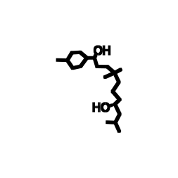 CC(C)C[C@@H](O)CCCC(C)(C)CCC(O)C1CCC(C)CC1